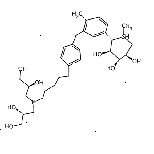 Cc1ccc([C@H]2[C@H](O)[C@H](O)[C@H](O)C[SH]2C)cc1Cc1ccc(CCCCCN(C[C@H](O)CO)C[C@H](O)CO)cc1